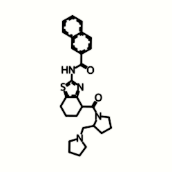 O=C(Nc1nc2c(s1)CCCC2C(=O)N1CCCC1CN1CCCC1)c1ccc2ccccc2c1